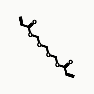 C=CC(=O)OCOCOCOC(=O)C=C